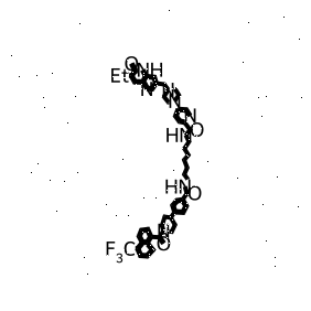 CCc1cc2ncc(CN3CCN(c4ccc(C(=O)NCCCCCCCNC(=O)c5ccc(C6CCN(C(=O)c7cccc8c(C(F)(F)F)cccc78)CC6)cc5)nc4)CC3)cc2[nH]c1=O